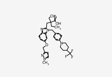 CCC(CC)(Cc1nc2ccc(OCc3ccn(C)n3)cc2n1Cc1ccc(N2CCC(C(F)(F)F)CC2)cc1)C(=O)O